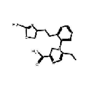 CCC1=CN=C(C(N)=O)CN1c1ccccc1CCC1COC(N)=N1